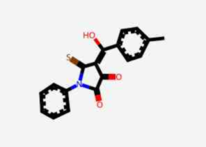 Cc1ccc(/C(O)=C2\C(=O)C(=O)N(c3ccccc3)C2=S)cc1